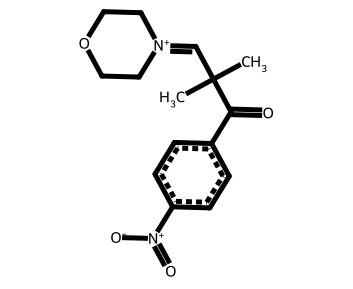 CC(C)(C=[N+]1CCOCC1)C(=O)c1ccc([N+](=O)[O-])cc1